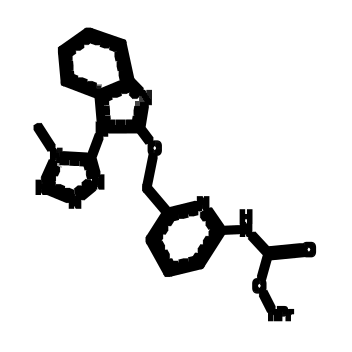 CCCOC(=O)Nc1cccc(COc2nc3ccccc3n2-c2nnnn2C)n1